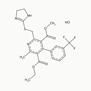 CCOC(=O)c1c(C)nc(CSC2=NCCN2)c(C(=O)OC)c1-c1cccc(C(F)(F)F)c1.Cl